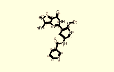 CCCc1c2nc(-c3cc(NC(=O)c4cccnc4)cnc3OCC)[nH]c(=O)c2nn1C